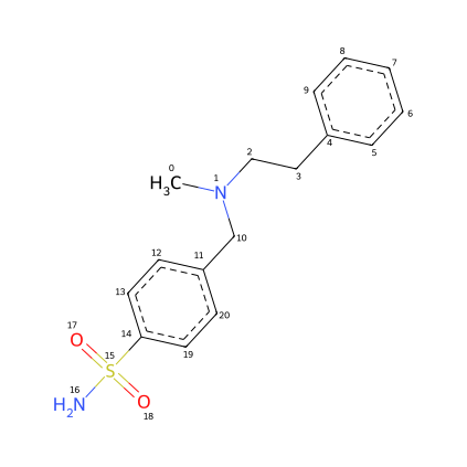 CN(CCc1ccccc1)Cc1ccc(S(N)(=O)=O)cc1